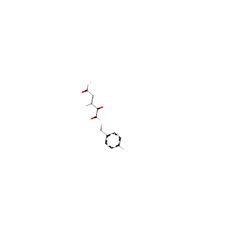 O=C(O)CC(Br)C(=O)C(=O)OCc1ccc(Br)cc1